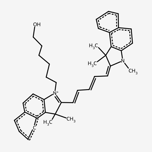 CN1/C(=C/C=C/C=C/C2=[N+](CCCCCCO)c3ccc4ccccc4c3C2(C)C)C(C)(C)c2c1ccc1ccccc21